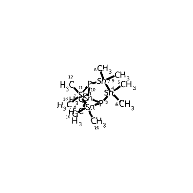 [CH3][Sn]1([CH3])[P]2[Sn]([CH3])([CH3])[Sn]([CH3])([CH3])[P]1[Sn]([CH3])([CH3])[Sn]2([CH3])[CH3]